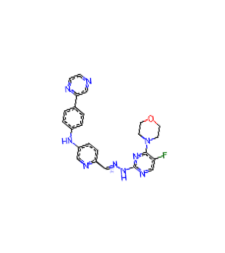 Fc1cnc(N/N=C/c2ccc(Nc3ccc(-c4cnccn4)cc3)cn2)nc1N1CCOCC1